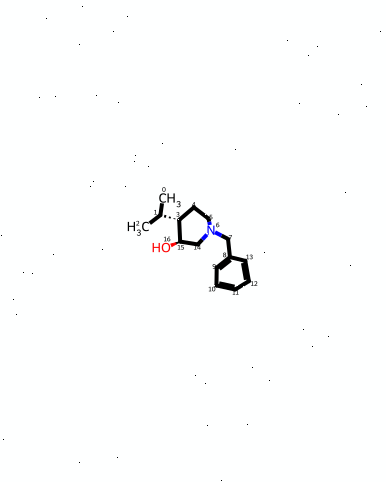 CC(C)[C@@H]1CCN(Cc2ccccc2)C[C@H]1O